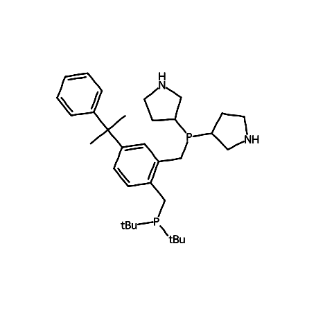 CC(C)(c1ccccc1)c1ccc(CP(C(C)(C)C)C(C)(C)C)c(CP(C2CCNC2)C2CCNC2)c1